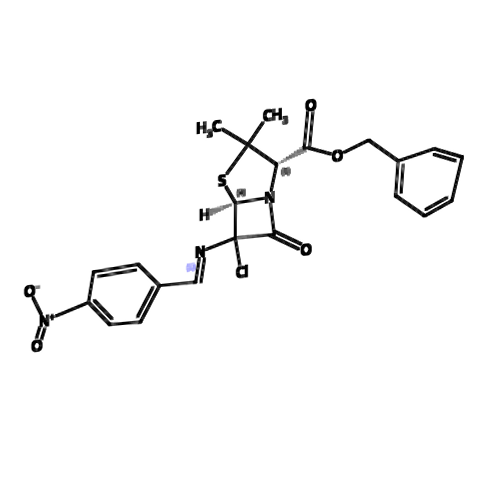 CC1(C)S[C@H]2N(C(=O)C2(Cl)/N=C/c2ccc([N+](=O)[O-])cc2)[C@H]1C(=O)OCc1ccccc1